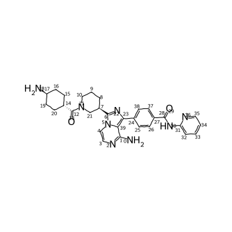 Nc1nccn2c([C@@H]3CCCN(C(=O)[C@H]4CC[C@H](N)CC4)C3)nc(-c3ccc(C(=O)Nc4ccccn4)cc3)c12